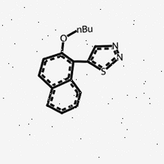 CCCCOc1ccc2ccccc2c1-c1[c]nns1